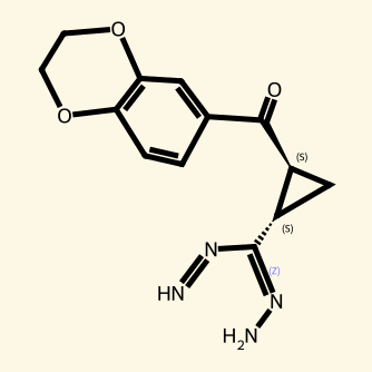 N=N/C(=N\N)[C@H]1C[C@@H]1C(=O)c1ccc2c(c1)OCCO2